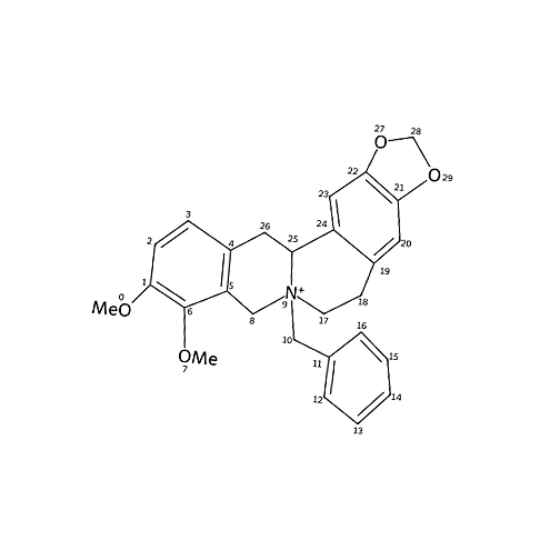 COc1ccc2c(c1OC)C[N+]1(Cc3ccccc3)CCc3cc4c(cc3C1C2)OCO4